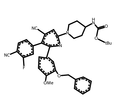 COc1ccc(-c2nc(N3CCC(NC(=O)OC(C)(C)C)CC3)cc(C#N)c2-c2ccc(C#N)c(F)c2)cc1OCc1ccccc1